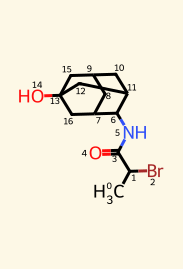 CC(Br)C(=O)NC1C2CC3CC1CC(O)(C3)C2